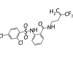 C=C(CCNC(=O)c1ccccc1NS(=O)(=O)c1ccc(Cl)cc1Cl)C(F)(F)F